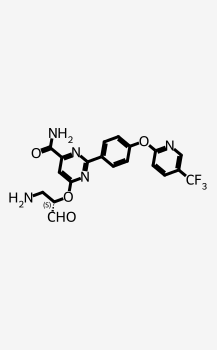 NC[C@@H](C=O)Oc1cc(C(N)=O)nc(-c2ccc(Oc3ccc(C(F)(F)F)cn3)cc2)n1